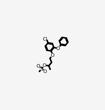 CC(CCOc1ccc(Cl)cc1Oc1ccccc1)OS(C)(=O)=O